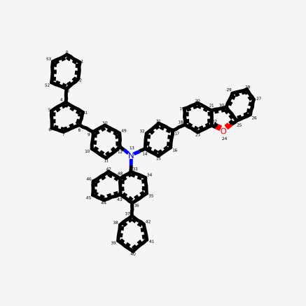 c1ccc(-c2cccc(-c3ccc(N(c4ccc(-c5ccc6c(c5)oc5ccccc56)cc4)c4ccc(-c5ccccc5)c5ccccc45)cc3)c2)cc1